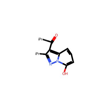 CC(C)C(=O)c1c(C(C)C)nn2c(O)cccc12